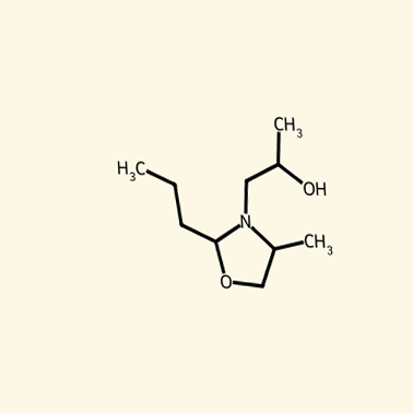 CCCC1OCC(C)N1CC(C)O